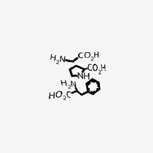 NC(Cc1ccccc1)C(=O)O.NCC(=O)O.O=C(O)[C@@H]1CCCN1